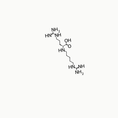 N=C(N)NCCCCCN[C@@H](CCCNC(=N)N)C(=O)O